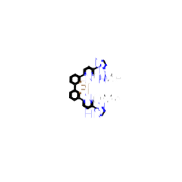 COc1nc(-c2cccc(-c3cccc(-c4ccc(C5=NCCN5)c(OC)n4)c3Br)c2Br)ccc1C1=NCCN1